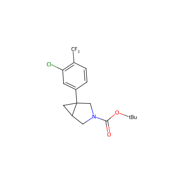 CC(C)(C)OC(=O)N1CC2CC2(c2ccc(C(F)(F)F)c(Cl)c2)C1